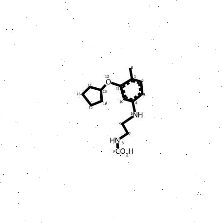 Cc1ccc(NCCNC(=O)O)cc1OC1CCCC1